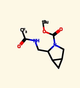 CC(C)(C)OC(=O)N1CC2CC2C1CNC(=O)C(F)(F)F